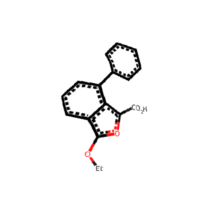 CCOc1oc(C(=O)O)c2c(-c3ccccc3)cccc12